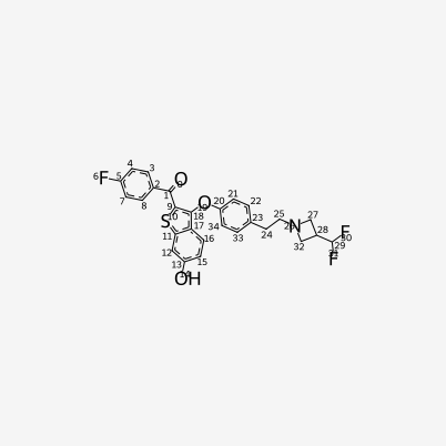 O=C(c1ccc(F)cc1)c1sc2cc(O)ccc2c1Oc1ccc(CCN2CC(C(F)F)C2)cc1